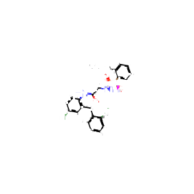 COc1ccccc1S(=O)(=O)NCC(=O)Nc1ccc(Cl)cc1Cc1ccccc1Cl